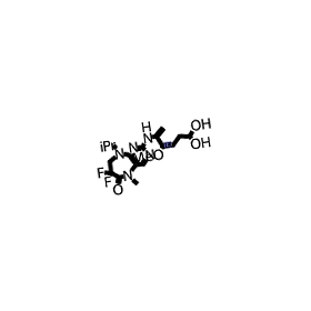 C=C(Nc1ncc2c(n1)N(C(C)C)CC(F)(F)C(=O)N2C)/C(=C\CC(O)O)OC